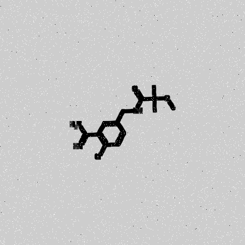 COC(C)(C)C(=O)NCc1ccc(Cl)c(C(=N)N)c1